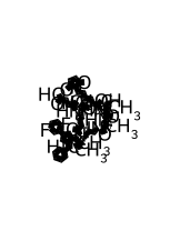 CC(C)[C@H](NC(O)CCCCCN1C(=O)C=CC1=O)C(=O)N[C@@H](C)C(=O)NCCCN(C(=O)CSC[C@H](NC(=O)CCC(=O)O)C(=O)O)[C@@H](c1cc(-c2cc(F)ccc2F)cn1Cc1ccccc1)C(C)(C)C